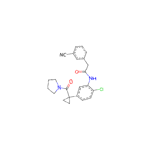 N#Cc1cccc(CC(=O)Nc2cc(C3(C(=O)N4CCCC4)CC3)ccc2Cl)c1